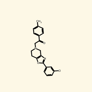 Cc1ccc(C(=O)CN2CCc3oc(-c4cccc(Cl)c4)nc3C2)cc1